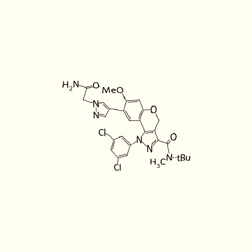 COc1cc2c(cc1-c1cnn(CC(N)=O)c1)-c1c(c(C(=O)N(C)C(C)(C)C)nn1-c1cc(Cl)cc(Cl)c1)CO2